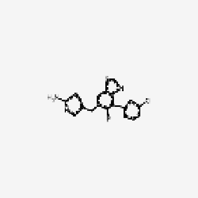 Nc1ccc(Cc2cc3scnc3c(-c3cccc(Cl)c3)c2F)cn1